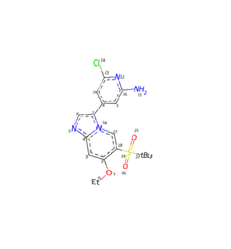 CCOc1cc2ncc(-c3cc(N)nc(Cl)c3)n2cc1S(=O)(=O)C(C)(C)C